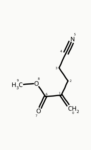 C=C(CCC#N)C(=O)OC